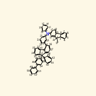 CC1(C)c2ccccc2-c2ccc(N(c3ccccc3)c3cccc(-c4cccc5c4-c4ccccc4C5(c4ccccc4)c4ccc(-c5ccccc5)cc4)c3)cc21